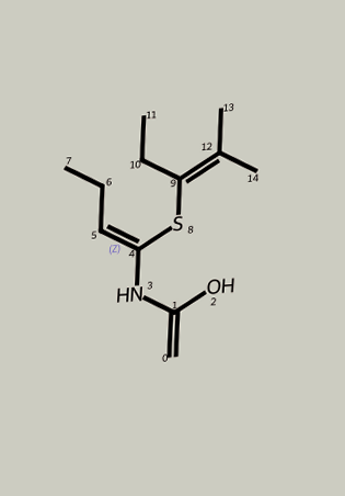 C=C(O)N/C(=C/CC)SC(CC)=C(C)C